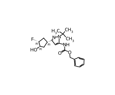 CC(C)(C)n1nc([C@@H]2C[C@@H](O)[C@H](F)C2)cc1NC(=O)OCc1ccccc1